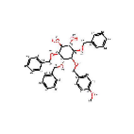 COc1ccc(COC2C(OCc3ccccc3)[C@@H](O)C(O)[C@H](OCc3ccccc3)[C@H]2OCc2ccccc2)cc1